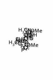 COc1ccc(F)c(F)c1COc1cc(-n2c(=O)[nH]c3c(OC)nc(C)nc32)c(Cl)cc1OCC(=O)N(C)C